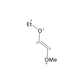 CCOC=COC